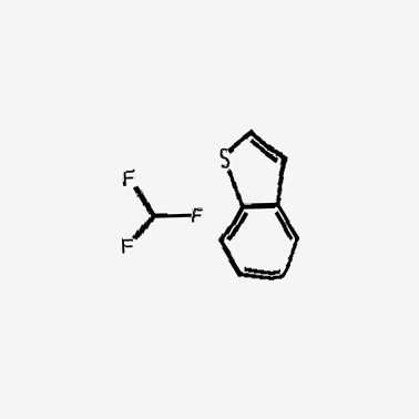 FC(F)F.c1ccc2sccc2c1